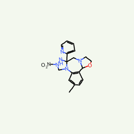 Cc1ccc2c(c1)N1CN([N+](=O)[O-])NC1(c1ccccn1)CN1CCOC21